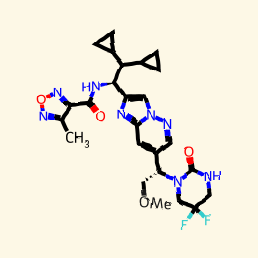 COC[C@H](c1cnn2cc([C@@H](NC(=O)c3nonc3C)C(C3CC3)C3CC3)nc2c1)N1CC(F)(F)CNC1=O